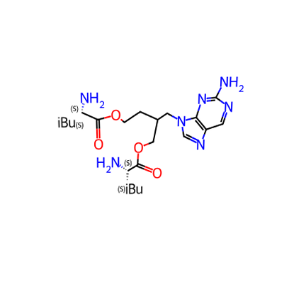 CC[C@H](C)[C@H](N)C(=O)OCCC(COC(=O)[C@@H](N)[C@@H](C)CC)Cn1cnc2cnc(N)nc21